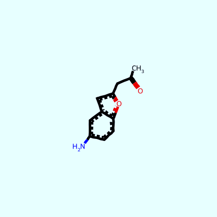 CC(=O)Cc1cc2cc(N)ccc2o1